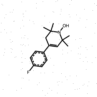 CC1(C)C=C(c2ccc(F)cc2)CC(C)(C)N1O